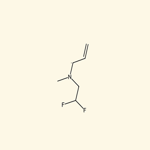 C=C[CH]N(C)CC(F)F